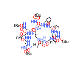 CCC[C@@H]1NC(=O)[C@H](CCNC(=O)OC(C)(C)C)NC(=O)[C@H](CC(C)C)NC(=O)[C@@H](Cc2ccccc2)NC(=O)[C@H](CCNC(=O)OC(C)(C)C)NC(=O)[C@@H](NC(=O)[C@H](CCNC(=O)OC(C)(C)C)NC(=O)[C@@H](NC(=O)[C@@H](N)CCNC(=O)OC(C)(C)C)[C@H](O)CCC)CCNC(=O)[C@H]([C@@H](C)O)NC1=O